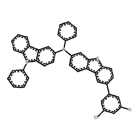 Clc1cc(Cl)cc(-c2ccc3sc4cc(N(c5ccccc5)c5ccc6c(c5)c5ccccc5n6-c5ccccc5)ccc4c3c2)c1